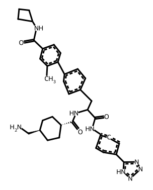 Cc1cc(C(=O)NC2CCC2)ccc1-c1ccc(CC(NC(=O)[C@H]2CC[C@H](CN)CC2)C(=O)Nc2ccc(-c3nnn[nH]3)cc2)cc1